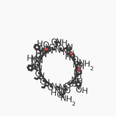 CCCC[C@H]1C(=O)N(C)[C@@H](CCCC)C(=O)N[C@@H](C)C(=O)N[C@H](C(=O)NCC(N)=O)CSCC(=O)N[C@@H](Cc2ccc(O)cc2)C(=O)N2CCCC[C@H]2C(=O)N[C@@H](CC(N)=O)C(=O)N2CCC[C@H]2C(=O)N[C@@H](Cc2cnc[nH]2)C(=O)N[C@@H](CCC(N)=O)C(=O)N2C[C@H](O)C[C@H]2C(=O)N[C@@H](Cc2c[nH]c3ccccc23)C(=O)N[C@@H](CO)C(=O)N[C@@H](Cc2c[nH]c3ccccc23)C(=O)N1C